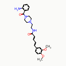 COc1ccc(C=CC=CC(=O)NCCN2CCN(C(=O)c3ccccc3N)CC2)cc1OC